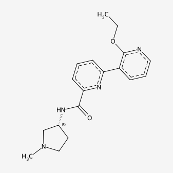 CCOc1ncccc1-c1cccc(C(=O)N[C@@H]2CCN(C)C2)n1